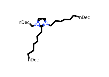 CCCCCCCCCCCCCCCCc1n(CCCCCCCCCCCCCCCC)cc[n+]1CCCCCCCCCCC